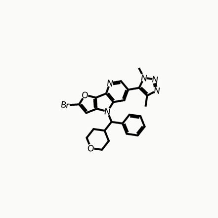 Cc1nnn(C)c1-c1cnc2c3oc(Br)cc3n(C(c3ccccc3)C3CCOCC3)c2c1